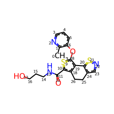 Cc1ncccc1Oc1sc(C(=O)NCCCO)c2c1-c1sncc1CC2